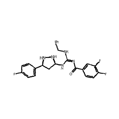 CC(C)CN/C(=N/C(=O)c1ccc(F)c(F)c1)NC1CC(c2ccc(F)cc2)NN1